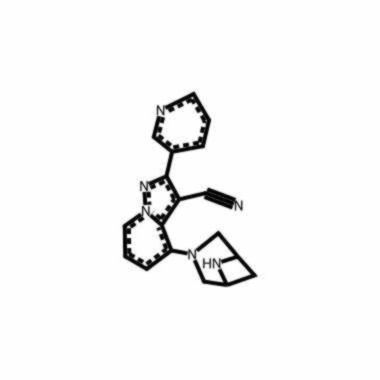 N#Cc1c(-c2cccnc2)nn2cccc(N3CC4CC(C3)N4)c12